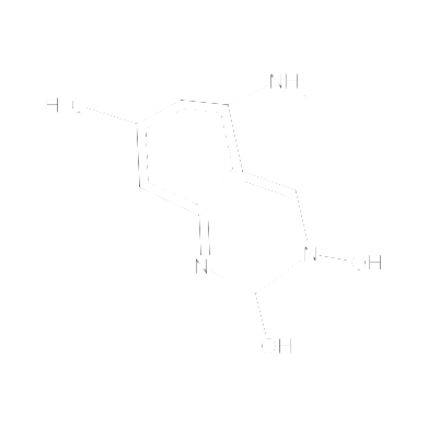 Cc1cc(N)c2c(c1)=NC(O)N(O)C=2